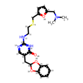 CN(C)Cc1ccc(CSCCNc2ncc(CC3Oc4ccccc4O3)c(=O)[nH]2)o1